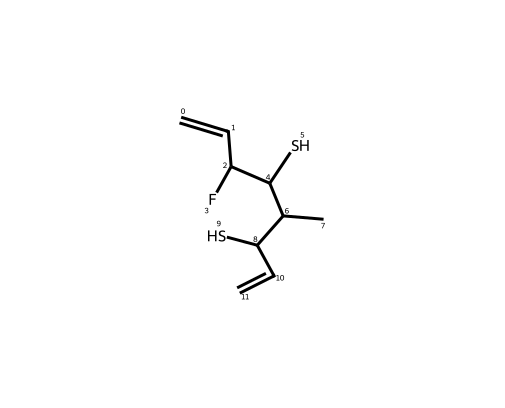 C=CC(F)C(S)C(C)C(S)C=C